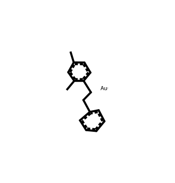 Cc1ccc(CCc2ccccc2)c(C)c1.[Au]